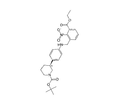 CCOC(=O)c1cccc(CNc2ccc([C@@H]3CCCN(C(=O)OC(C)(C)C)C3)cc2)c1[N+](=O)[O-]